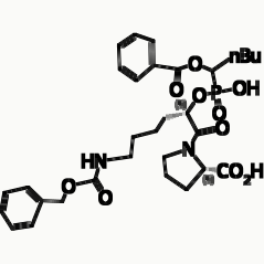 CCCCC(OC(=O)c1ccccc1)P(=O)(O)O[C@@H](CCCCNC(=O)OCc1ccccc1)C(=O)N1CCC[C@H]1C(=O)O